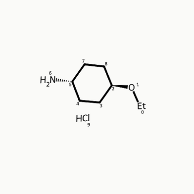 CCO[C@H]1CC[C@H](N)CC1.Cl